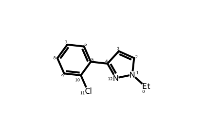 CCn1c[c]c(-c2ccccc2Cl)n1